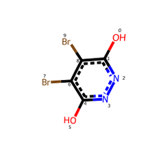 Oc1nnc(O)c(Br)c1Br